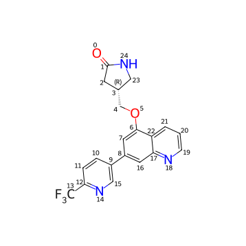 O=C1C[C@@H](COc2cc(-c3ccc(C(F)(F)F)nc3)cc3ncccc23)CN1